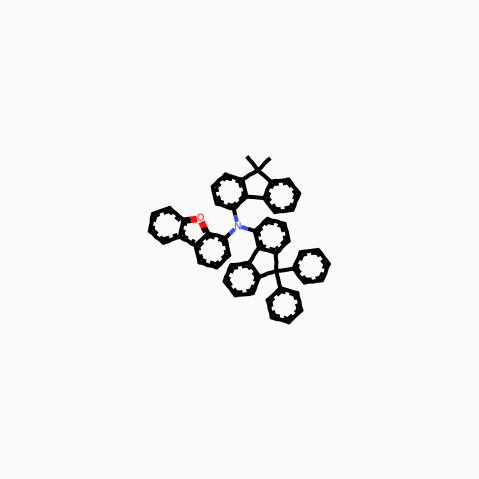 CC1(C)c2ccccc2-c2c(N(c3cccc4c3-c3ccccc3C4(c3ccccc3)c3ccccc3)c3cccc4c3oc3ccccc34)cccc21